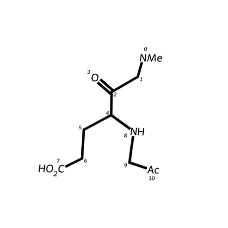 CNCC(=O)C(CCC(=O)O)NCC(C)=O